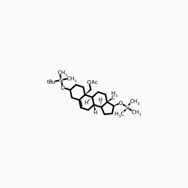 CC(=O)OC[C@]12CCC(O[Si](C)(C)C(C)(C)C)CC1=CC[C@@H]1[C@@H]2CC[C@]2(C)[C@@H](O[Si](C)(C)C)CC[C@@H]12